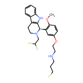 COc1ccc(OCCNCCCF)cc1[C@@H]1c2[nH]c3ccccc3c2CCN1CC(F)F